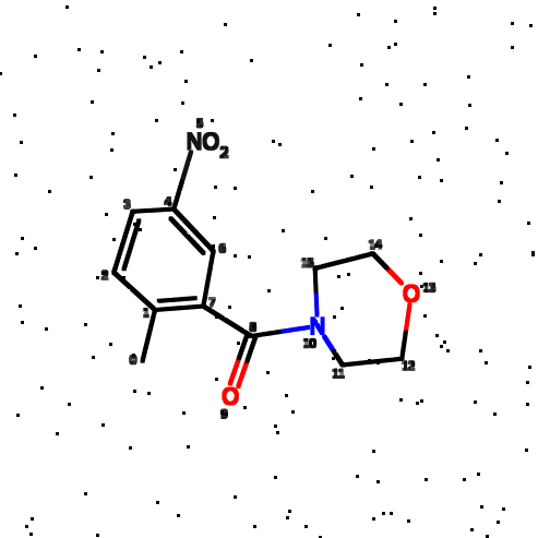 Cc1ccc([N+](=O)[O-])cc1C(=O)N1CCOCC1